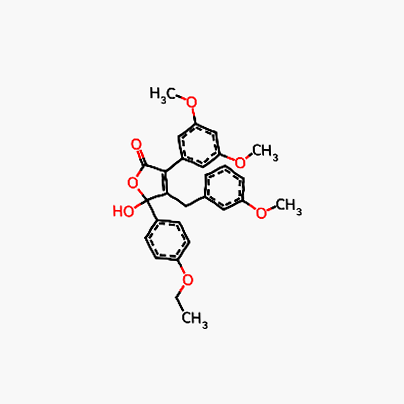 CCOc1ccc(C2(O)OC(=O)C(c3cc(OC)cc(OC)c3)=C2Cc2cccc(OC)c2)cc1